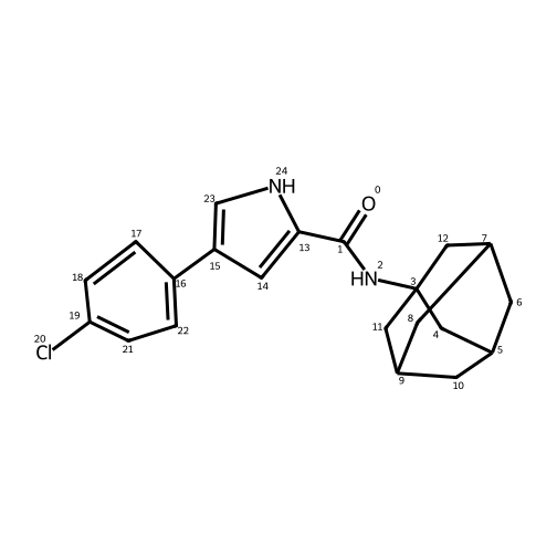 O=C(NC12CC3CC(CC(C3)C1)C2)c1cc(-c2ccc(Cl)cc2)c[nH]1